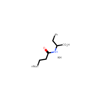 CCCCCCCCCCCC(=O)NC(CC(C)C)C(=O)O.[KH]